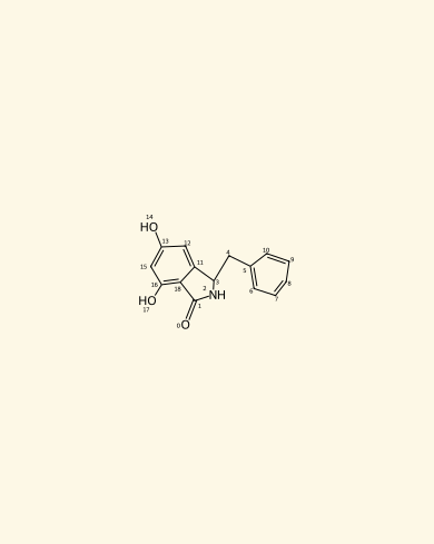 O=C1NC(Cc2ccccc2)c2cc(O)cc(O)c21